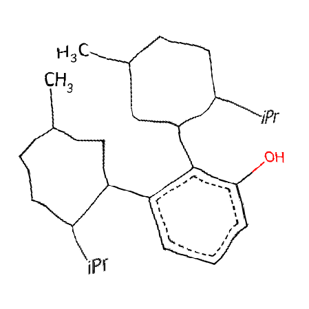 CC1CCC(C(C)C)C(c2cccc(O)c2C2CC(C)CCC2C(C)C)C1